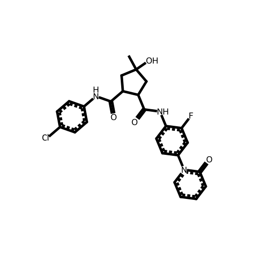 CC1(O)CC(C(=O)Nc2ccc(Cl)cc2)C(C(=O)Nc2ccc(-n3ccccc3=O)cc2F)C1